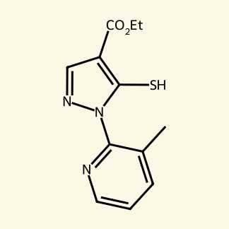 CCOC(=O)c1cnn(-c2ncccc2C)c1S